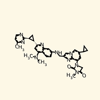 Cc1ccnc([C@H]2C[C@@H]2c2cc(N(C)C)c3ccc(NCc4cn5cc(C6CC6)cc(N6CC(=O)N(C)C6=O)c5n4)cc3n2)n1